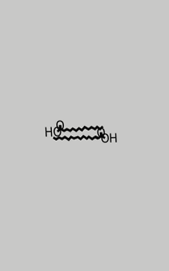 CCCCCCCCCCCCCC/C=C/C(=O)O.CCCCCCCCCCCCCCC(=O)O